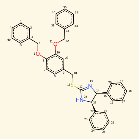 c1ccc(COc2ccc(CSC3=N[C@@H](c4ccccc4)[C@@H](c4ccccc4)N3)cc2OCc2ccccc2)cc1